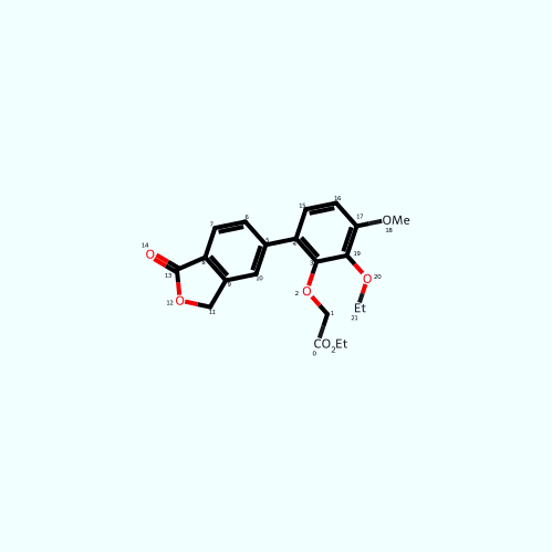 CCOC(=O)COc1c(-c2ccc3c(c2)COC3=O)ccc(OC)c1OCC